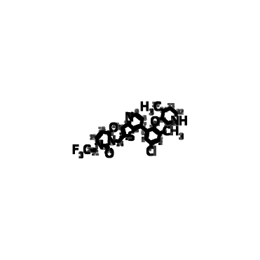 Cc1cc(Cl)cc(-c2ccnc3cc(Cn4c(=O)ccn(CC(F)(F)F)c4=O)sc23)c1O[C@@H]1CNCC[C@@H]1C